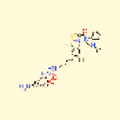 COC(=O)[C@H](CCCCN)NC(=O)NCCCCCc1cc(Cl)c(CN2CSC[C@H]2C(=O)N2CCN(C3CC3)c3ccccc32)cc1Cl